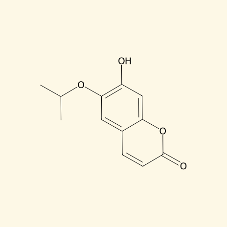 CC(C)Oc1cc2ccc(=O)oc2cc1O